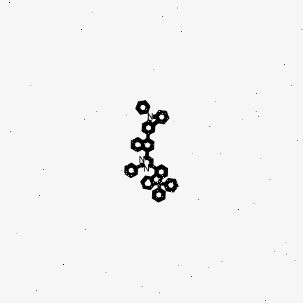 C1=CC2=C(CC1)C(c1ccccc1)(c1ccccc1)c1cccc(-c3cc(-c4ccc(-c5ccc6c(c5)c5ccccc5n6-c5ccccc5)c5ccccc45)nc(-c4ccccc4)n3)c12